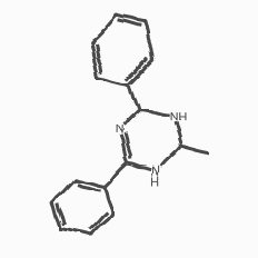 CC1NC(c2ccccc2)=NC(c2ccccc2)N1